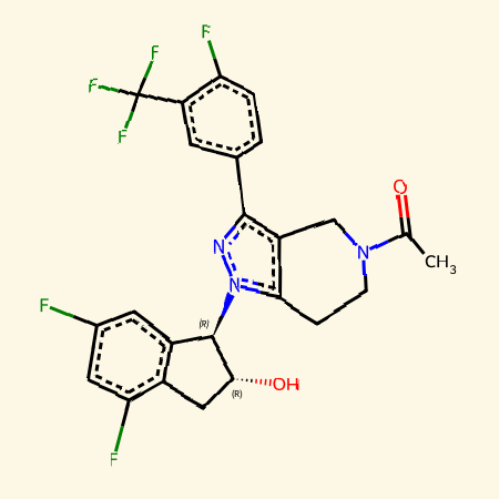 CC(=O)N1CCc2c(c(-c3ccc(F)c(C(F)(F)F)c3)nn2[C@@H]2c3cc(F)cc(F)c3C[C@H]2O)C1